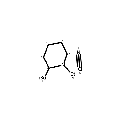 C#N.CCCCC1CCCCN1CC